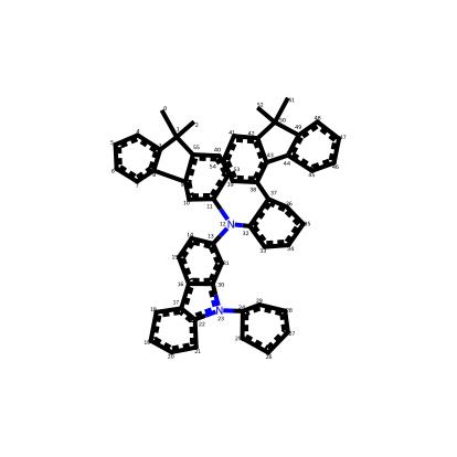 CC1(C)c2ccccc2-c2cc(N(c3ccc4c5ccccc5n(-c5ccccc5)c4c3)c3ccccc3-c3cccc4c3-c3ccccc3C4(C)C)ccc21